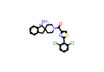 N[C@@H]1c2ccccc2CC12CCN(C(=O)c1csc(-c3c(Cl)cccc3Cl)n1)CC2